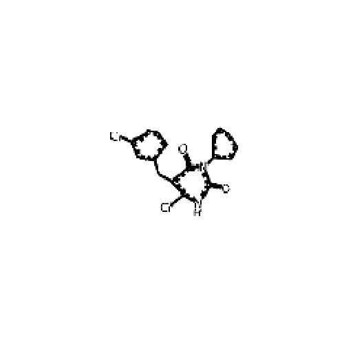 O=c1[nH]c(Cl)c(Cc2cccc(Cl)c2)c(=O)n1-c1ccccc1